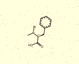 CN(Br)[C@@H](Cc1ccccc1)C(=O)O